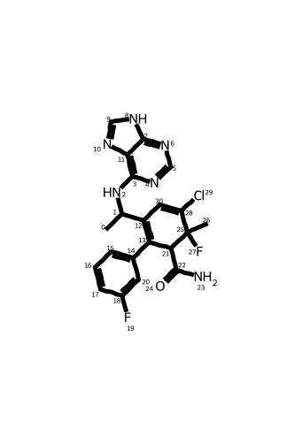 CC(Nc1ncnc2[nH]cnc12)C1=C(c2cccc(F)c2)C(C(N)=O)C(C)(F)C(Cl)=C1